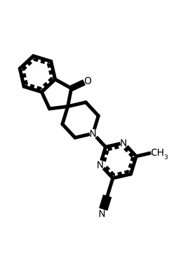 Cc1cc(C#N)nc(N2CCC3(CC2)Cc2ccccc2C3=O)n1